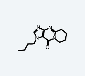 CCCCn1cnc2nc3n(c(=O)c21)CCCC3